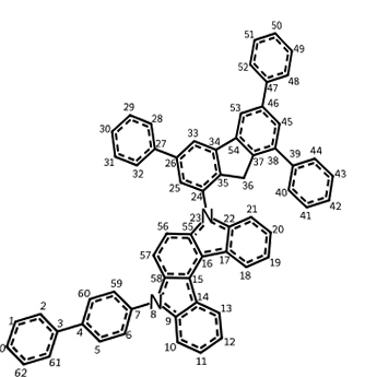 c1ccc(-c2ccc(-n3c4ccccc4c4c5c6ccccc6n(-c6cc(-c7ccccc7)cc7c6Cc6c(-c8ccccc8)cc(-c8ccccc8)cc6-7)c5ccc43)cc2)cc1